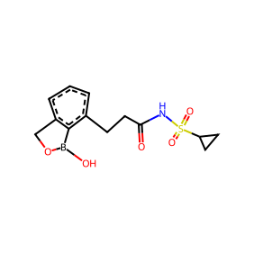 O=C(CCc1cccc2c1B(O)OC2)NS(=O)(=O)C1CC1